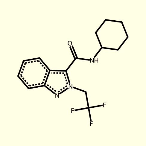 O=C(NC1CCCCC1)c1c2ccccc2nn1CC(F)(F)F